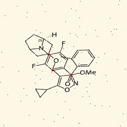 COC(=O)c1cc(F)c(N2C3CC[C@H]2CC(OCc2c(-c4ccccc4C)noc2C2CC2)C3)c(F)c1